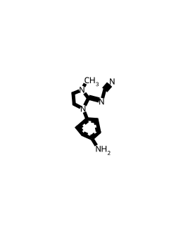 CN1CCN(c2ccc(N)cc2)/C1=N/C#N